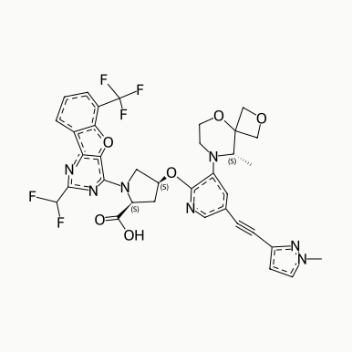 C[C@@H]1N(c2cc(C#Cc3ccn(C)n3)cnc2O[C@H]2C[C@@H](C(=O)O)N(c3nc(C(F)F)nc4c3oc3c(C(F)(F)F)cccc34)C2)CCOC12COC2